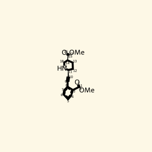 COC(=O)c1ccccc1C#C[C@@H]1CC[C@H](C(=O)OC)CN1